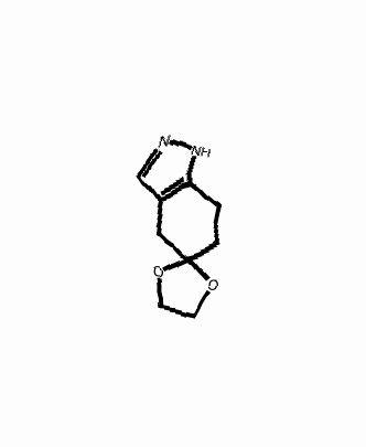 c1n[nH]c2c1CC1(CC2)OCCO1